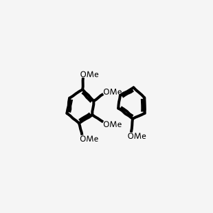 COc1ccc(OC)c(OC)c1OC.COc1ccccc1